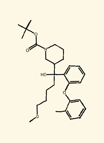 COCCCCC(O)(c1ccccc1Oc1ccccc1C)C1CCCN(C(=O)OC(C)(C)C)C1